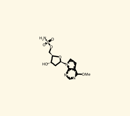 COc1ncnc2c1ccn2[C@H]1C[C@H](O)[C@@H](COS(N)(=O)=O)O1